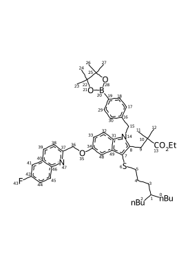 CCCCC(CCCC)CCCSc1c(CC(C)(C)C(=O)OCC)n(Cc2ccc(B3OC(C)(C)C(C)(C)O3)cc2)c2ccc(OCc3ccc4cc(F)ccc4n3)cc12